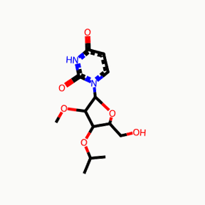 COC1C(OC(C)C)C(CO)OC1n1ccc(=O)[nH]c1=O